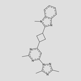 Cc1nc(C2CC(c3nc4ccccc4n3C)C2)cc(-n2nc(C)nc2C)n1